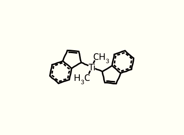 [CH3][Ti]([CH3])([CH]1C=Cc2ccccc21)[CH]1C=Cc2ccccc21